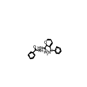 NN(C1=CC=COC1C(=O)NNC(=O)c1ccccc1)c1ccccc1